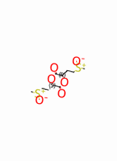 C[S+]([O-])CC[C@@H]1OC(=O)[C@@H](CC[S+](C)[O-])OC1=O